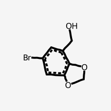 OCc1cc(Br)cc2c1OCO2